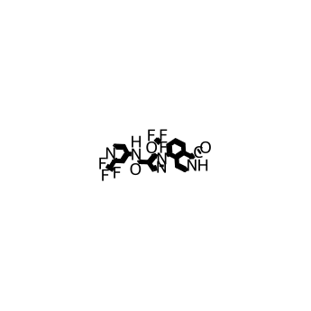 O=C=C1NC=Cc2c1cccc2-n1ncc(C(=O)Nc2ccnc(C(F)(F)F)c2)c1OC(F)(F)F